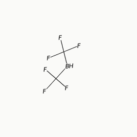 FC(F)(F)BC(F)(F)F